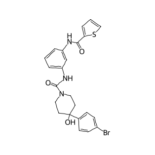 O=C(Nc1cccc(NC(=O)N2CCC(O)(c3ccc(Br)cc3)CC2)c1)c1cccs1